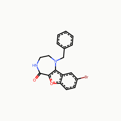 O=C1NCCN(Cc2ccccc2)c2c1oc1ccc(Br)cc21